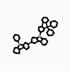 c1ccc(-n2c3ccccc3c3ccc(-c4ccc5c(c4)c4ccccc4n5-c4ccc5c(c4)C(c4ccccc4)(c4ccccc4)c4ccccc4-5)cc32)cc1